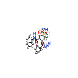 CC1Cc2ccccc2N1NC(=O)c1ccc(Cl)c(S(N)(=O)=O)c1.[N-]=[N+]=NC(=O)c1ccccc1